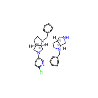 Clc1ccc(N2C[C@@H]3CCN(Cc4ccccc4)[C@@H]3C2)cn1.c1ccc(CN2CC[C@H]3CNC[C@H]32)cc1